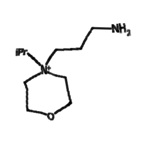 CC(C)[N+]1(CCCN)CCOCC1